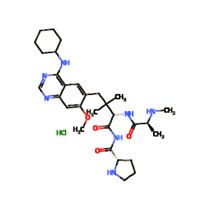 CN[C@@H](C)C(=O)N[C@H](C(=O)NC(=O)[C@@H]1CCCN1)C(C)(C)Cc1cc2c(NC3CCCCC3)ncnc2cc1OC.Cl